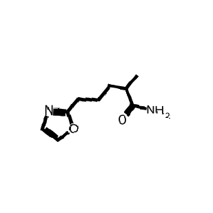 CC(CCCc1ncco1)C(N)=O